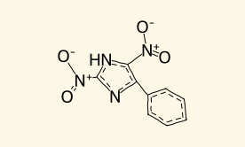 O=[N+]([O-])c1nc(-c2ccccc2)c([N+](=O)[O-])[nH]1